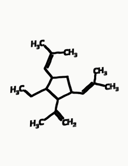 C=C(C)C1C(C=C(C)C)CC(C=C(C)C)C1CC